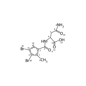 Cc1c(C(=O)NC(CC(N)=O)C(=O)O)sc(Br)c1Br